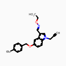 C#CCn1cc(C=NOCC(=O)O)c2cc(OCc3ccc(C(C)(C)C)cc3)ccc21